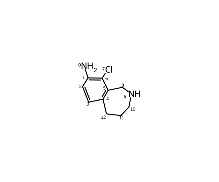 Nc1ccc2c(c1Cl)CNCCC2